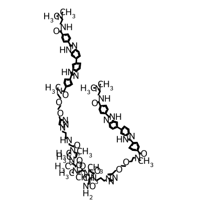 C[C@@H](C(=O)N(C)[C@@H](C)C(=O)N(C)[C@@H](C)C(=O)N(C)[C@@H](C)C(=O)N(CCCn1cc(COCCOCCN(C)C(=O)c2ccc(-c3nc4ccc(-c5ccc6nc(-c7ccc(C(=O)NCCN(C)C)cc7)[nH]c6c5)cc4[nH]3)cc2)nn1)CC(N)=O)N(C)C(=O)CNCCCn1cc(COCCOCCN(C)C(=O)c2ccc(-c3nc4ccc(-c5ccc6nc(-c7ccc(C(=O)NCCN(C)C)cc7)[nH]c6c5)cc4[nH]3)cc2)nn1